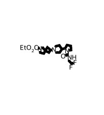 CCOC(=O)N1CCC2(CC(N3CCC(C4CCCN4C(=O)NCC(F)F)CC3)C2)C1